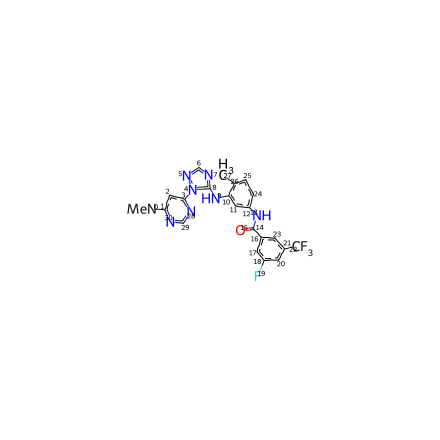 CNc1cc(-n2ncnc2Nc2cc(NC(=O)c3cc(F)cc(C(F)(F)F)c3)ccc2C)ncn1